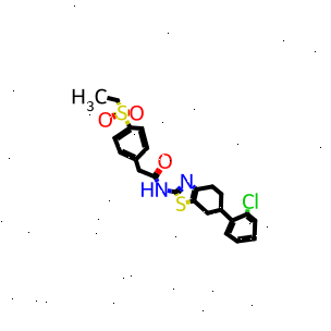 CCS(=O)(=O)c1ccc(CC(=O)Nc2nc3c(s2)CC(c2ccccc2Cl)CC3)cc1